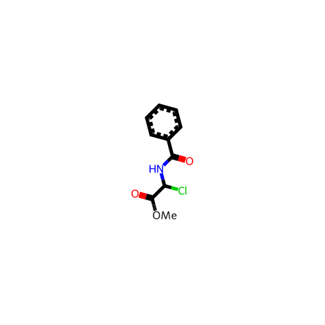 COC(=O)C(Cl)NC(=O)c1ccccc1